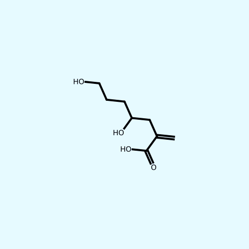 C=C(CC(O)CCCO)C(=O)O